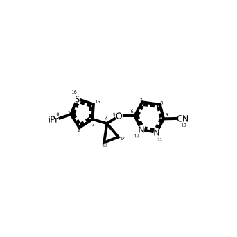 CC(C)c1cc(C2(Oc3ccc(C#N)nn3)CC2)cs1